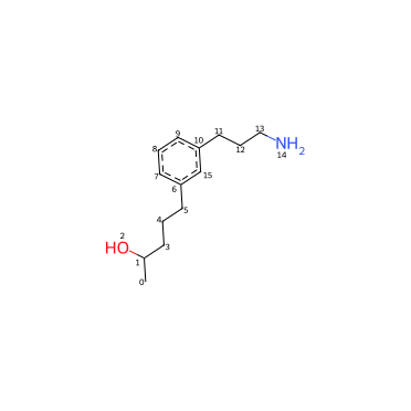 CC(O)CCCc1cccc(CCCN)c1